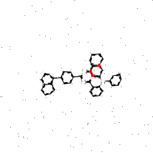 c1ccc(-c2nc(-c3ccc(-c4cccc5ccccc45)cc3)nc(-c3ccccc3N(c3ccccc3)c3ccccc3)n2)cc1